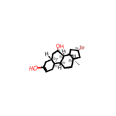 C[C@]12CC[C@H]3[C@@H]([C@@H](O)C[C@H]4CC(O)=CC[C@@]43C)[C@@H]1C[C@H](Br)C2